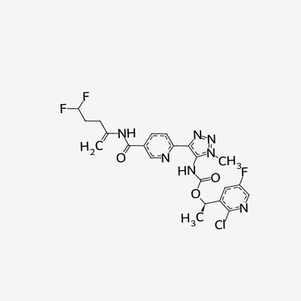 C=C(CCC(F)F)NC(=O)c1ccc(-c2nnn(C)c2NC(=O)O[C@H](C)c2cc(F)cnc2Cl)nc1